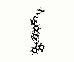 C[Si](C)(C)CCOCn1ccc(-c2ccc(C[C@H](NC(=O)OCC3c4ccccc4-c4ccccc43)C(=O)O)cc2)n1